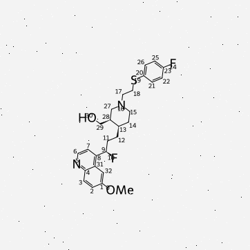 COc1ccc2nccc([C@H](F)CC[C@@H]3CCN(CCSc4ccc(F)cc4)C[C@@H]3CO)c2c1